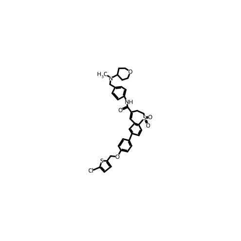 CN(Cc1ccc(NC(=O)C2=Cc3cc(-c4ccc(OCc5ccc(Cl)s5)cc4)ccc3S(=O)(=O)CC2)cc1)C1CCOCC1